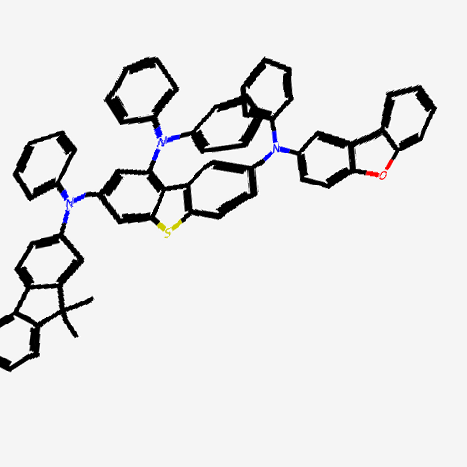 CC1(C)c2ccccc2-c2ccc(N(c3ccccc3)c3cc(N(c4ccccc4)c4ccccc4)c4c(c3)sc3ccc(N(c5ccccc5)c5ccc6oc7ccccc7c6c5)cc34)cc21